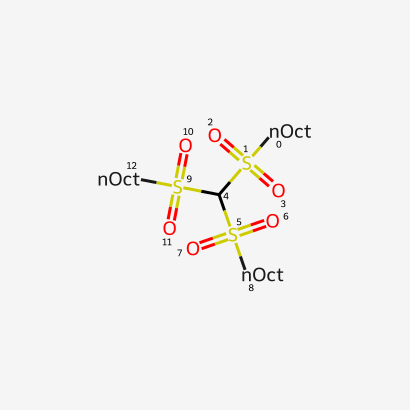 CCCCCCCCS(=O)(=O)C(S(=O)(=O)CCCCCCCC)S(=O)(=O)CCCCCCCC